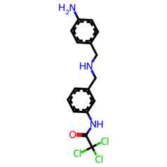 Nc1ccc(CNCc2cccc(NC(=O)C(Cl)(Cl)Cl)c2)cc1